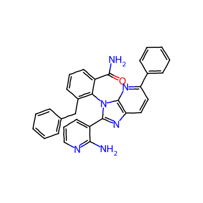 NC(=O)c1cccc(Cc2ccccc2)c1-n1c(-c2cccnc2N)nc2ccc(-c3ccccc3)nc21